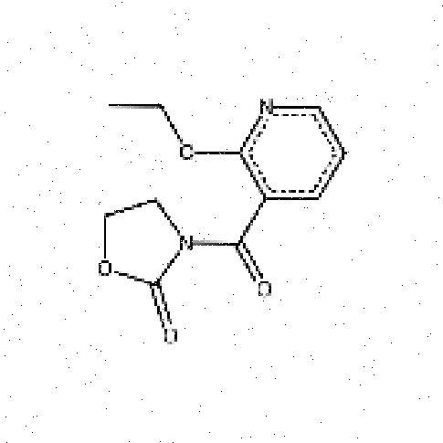 CCOc1ncccc1C(=O)N1CCOC1=O